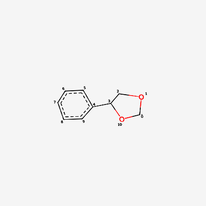 [CH]1OCC(c2ccccc2)O1